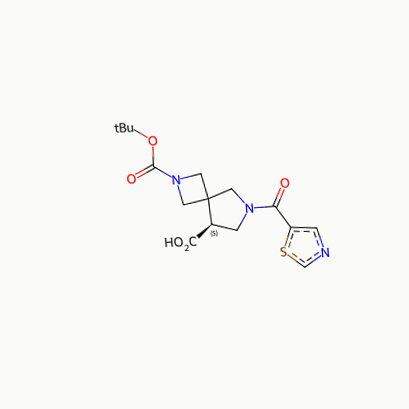 CC(C)(C)OC(=O)N1CC2(C1)CN(C(=O)c1cncs1)C[C@H]2C(=O)O